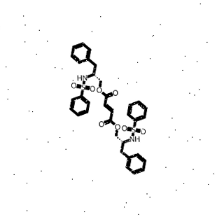 O=C(/C=C/C(=O)OC[C@@H](Cc1ccccc1)NS(=O)(=O)c1ccccc1)OC[C@@H](Cc1ccccc1)NS(=O)(=O)c1ccccc1